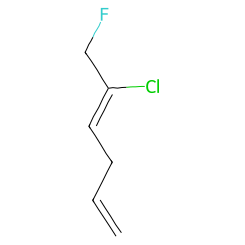 C=CCC=C(Cl)CF